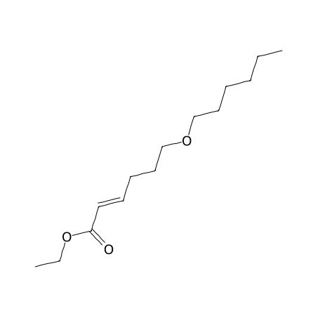 CCCCCCOCCC/C=C/C(=O)OCC